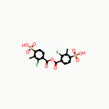 Cc1c(S(=O)(=O)O)ccc(C(=O)OC(=O)c2ccc(S(=O)(=O)O)c(C)c2F)c1F